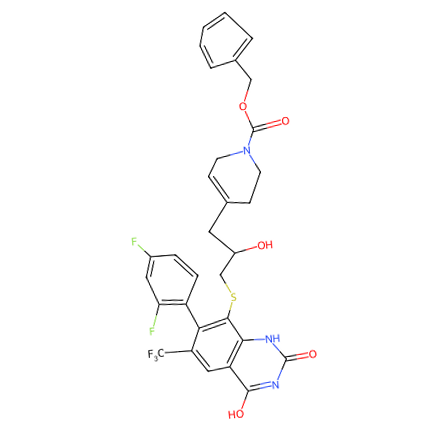 O=C(OCc1ccccc1)N1CC=C(CC(O)CSc2c(-c3ccc(F)cc3F)c(C(F)(F)F)cc3c(O)nc(=O)[nH]c23)CC1